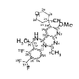 COc1nc2nc(C)nc(N[C@H](C)c3cccc(C(F)F)c3F)c2cc1C1(C#N)CCOCC1